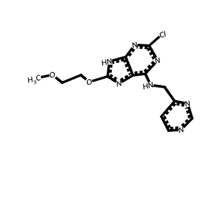 COCCOc1nc2c(NCc3ccncn3)nc(Cl)nc2[nH]1